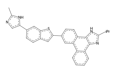 Cc1ncc(-c2ccc3cc(-c4ccc5c(c4)c4ccccc4c4nc(C(C)C)[nH]c54)sc3c2)[nH]1